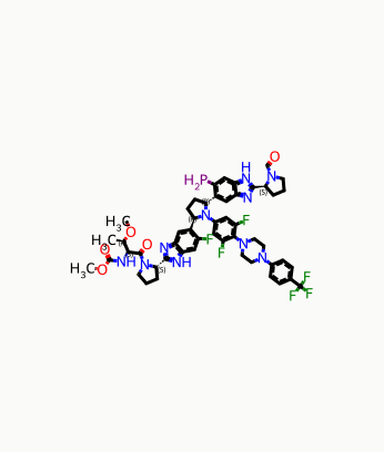 COC(=O)N[C@H](C(=O)N1CCC[C@H]1c1nc2cc([C@H]3CC[C@H](c4cc5nc([C@@H]6CCCN6C=O)[nH]c5cc4P)N3c3cc(F)c(N4CCN(c5ccc(C(F)(F)F)cc5)CC4)c(F)c3)c(F)cc2[nH]1)[C@@H](C)OC